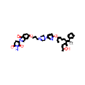 C=C\C(=C/C=C/C(C(=C)/C=C\C(=C)O)=C(/CC)c1ccccc1)Oc1ccc(N2CCN(CCCOc3ccc4c(c3)CN(C3CCC(=O)NC3=O)C4=O)CC2)cn1